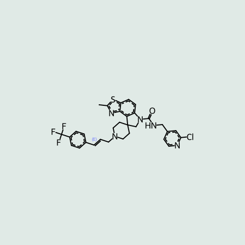 Cc1nc2c3c(ccc2s1)N(C(=O)NCc1ccnc(Cl)c1)CC31CCN(C/C=C/c2ccc(C(F)(F)F)cc2)CC1